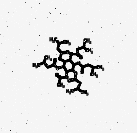 CC(=O)OC1C(OC(=O)CC(C)C)C(OC(=O)CC(C)C)C(OC(=O)CC(C)C)C(OC(=O)CC(C)C)C1OC(=O)CC(C)C